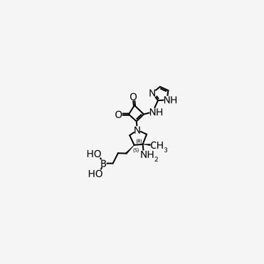 C[C@]1(N)CN(c2c(Nc3ncc[nH]3)c(=O)c2=O)C[C@@H]1CCCB(O)O